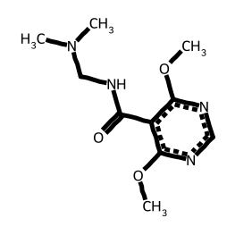 COc1ncnc(OC)c1C(=O)NCN(C)C